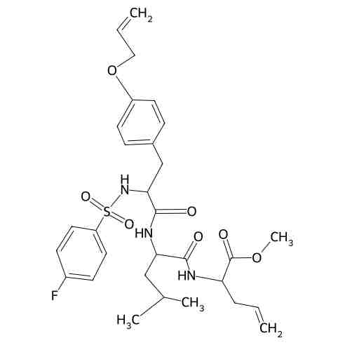 C=CCOc1ccc(CC(NS(=O)(=O)c2ccc(F)cc2)C(=O)NC(CC(C)C)C(=O)NC(CC=C)C(=O)OC)cc1